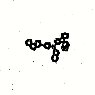 c1ccc2c(c1)-c1ccc(N(c3ccc(-c4ccc5c(ccc6ccccc65)c4)cc3)c3ccc4ccccc4c3)cc1C21C2CC3CC(C2)CC1C3